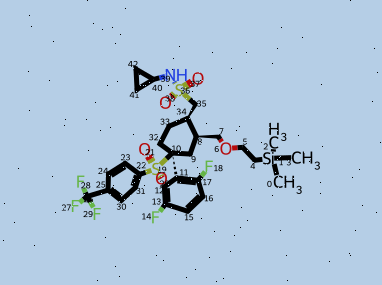 C[Si](C)(C)CCOC[C@H]1C[C@@](c2cc(F)ccc2F)(S(=O)(=O)c2ccc(C(F)(F)F)cc2)CC[C@H]1CS(=O)(=O)NC1CC1